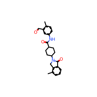 Cc1ccc(NC(=O)C2CCC(N3Cc4c(C)cccc4C3=O)CC2)cc1C=O